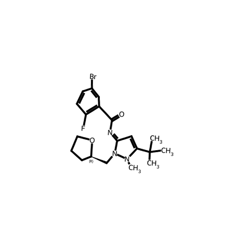 Cn1c(C(C)(C)C)cc(=NC(=O)c2cc(Br)ccc2F)n1C[C@H]1CCCO1